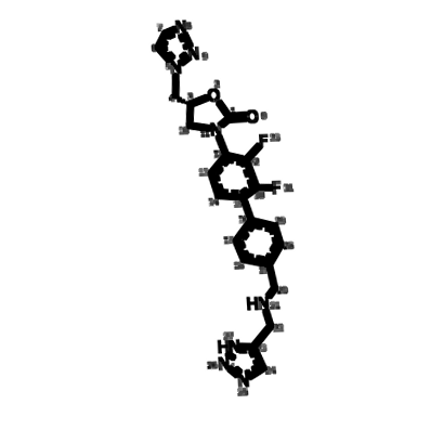 O=C1O[C@@H](Cn2ccnn2)CN1c1ccc(-c2ccc(CNCc3cnn[nH]3)cc2)c(F)c1F